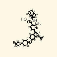 O=C(NC1(C(=O)O)C2CC3CC(C2)CC1C3)c1ccc(-c2cn(C3CC3)c3cc(O[C@H]4CC[C@H](N5CC(F)(F)C5)CC4)ccc23)nc1C(F)(F)F